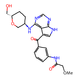 COCC(=O)Nc1cccc(C(=O)c2c[nH]c3ncnc(N[C@@H]4CC[C@@H](CO)OC4)c23)c1